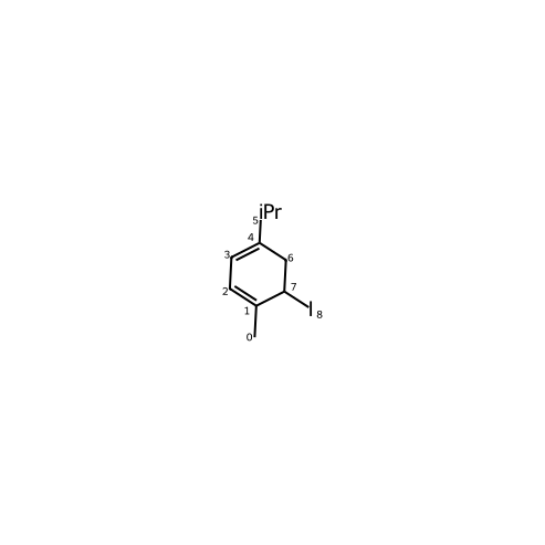 CC1=CC=C(C(C)C)CC1I